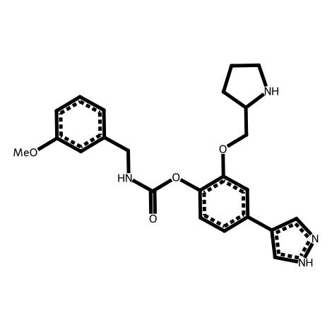 COc1cccc(CNC(=O)Oc2ccc(-c3cn[nH]c3)cc2OCC2CCCN2)c1